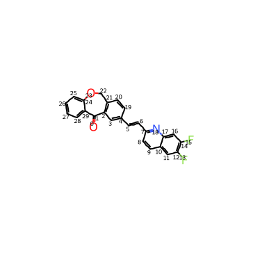 O=C1c2cc(/C=C/c3ccc4cc(F)c(F)cc4n3)ccc2COc2ccccc21